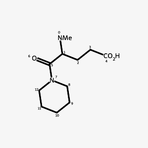 CNC(CCC(=O)O)C(=O)N1CCCCC1